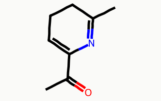 CC(=O)C1=CCCC(C)=N1